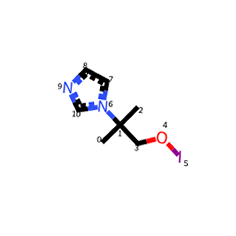 CC(C)(COI)n1ccnc1